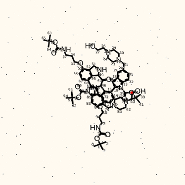 CC(C)(C)OC(=O)NCCCOc1ccc(-c2cc3cc(CN4CCN(CCO)CC4)ccc3n2C(=O)OC(C)(C)C)c2c1CNC2C(=O)C1NCc2c(OCCCNC(=O)OC(C)(C)C)ccc(-c3cc4cc(CN5CCN(CCO)CC5)ccc4n3C(=O)OC(C)(C)C)c21